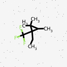 CCC1(C(F)(F)F)C(C)C1(C)C